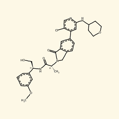 COc1cccc([C@@H](CO)NC(=O)[C@@H](C)N2Cc3ccc(-c4cc(NC5CCOCC5)ncc4Cl)cc3C2=O)c1